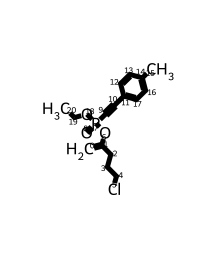 C=C(CCCCl)OP(=O)(C#Cc1ccc(C)cc1)OCC